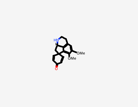 COc1cc2c3c(c1OC)C1(C=CC(=O)C=C1)C[C@@H]3NCC2